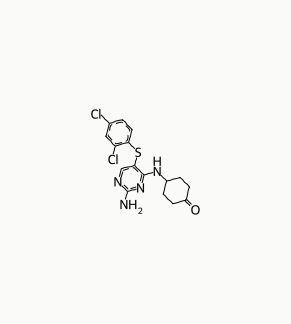 Nc1ncc(Sc2ccc(Cl)cc2Cl)c(NC2CCC(=O)CC2)n1